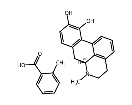 CN1CCc2cccc3c2[C@H]1Cc1ccc(O)c(O)c1-3.Cc1ccccc1C(=O)O